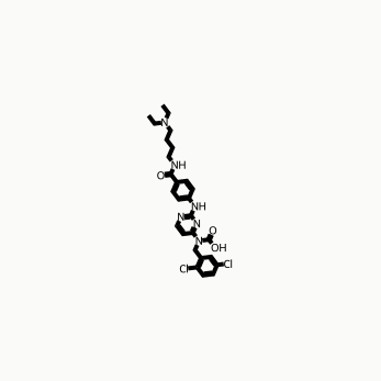 CCN(CC)CCCCNC(=O)c1ccc(Nc2nccc(N(Cc3cc(Cl)ccc3Cl)C(=O)O)n2)cc1